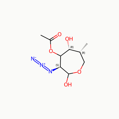 CC(=O)OC1[C@H](N=[N+]=[N-])C(O)OC[C@@H](C)[C@H]1O